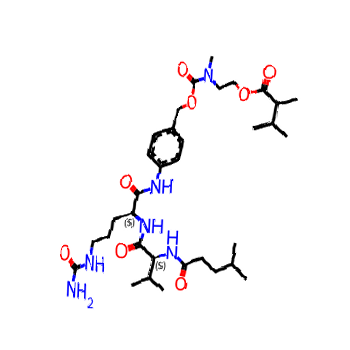 CC(C)CCC(=O)N[C@H](C(=O)N[C@@H](CCCNC(N)=O)C(=O)Nc1ccc(COC(=O)N(C)CCOC(=O)C(C)C(C)C)cc1)C(C)C